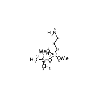 CO[Si](CCCN)(OC)O[Si](C)(C)C